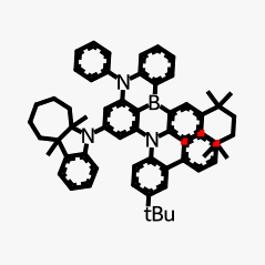 CC(C)(C)c1ccc(N2c3cc4c(cc3B3c5ccccc5N(c5ccccc5)c5cc(N6c7ccccc7C7(C)CCCCCC67C)cc2c53)C(C)(C)CCC4(C)C)c(-c2ccccc2)c1